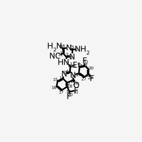 CC[C@H](Nc1nc(N)nc(N)c1C#N)c1nc2cccc(C(F)F)c2c(=O)n1-c1cc(F)cc(F)c1